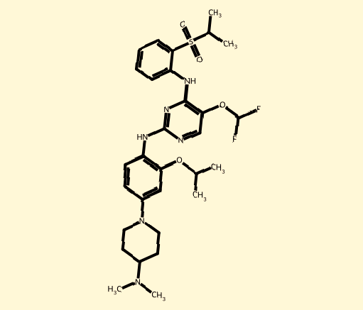 CC(C)Oc1cc(N2CCC(N(C)C)CC2)ccc1Nc1ncc(OC(F)F)c(Nc2ccccc2S(=O)(=O)C(C)C)n1